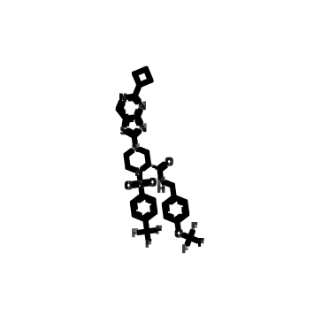 O=C(NCc1ccc(OC(F)(F)F)cc1)[C@H]1CN(c2nc3nc(C4CCC4)ncc3s2)CCN1S(=O)(=O)c1ccc(C(F)(F)F)cc1